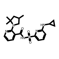 CC1CN(c2ncccc2C(=O)NS(=O)(=O)c2cccc(NC3CC3)n2)C(C)(C)C1